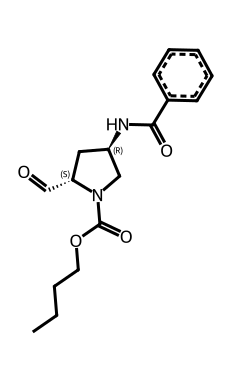 CCCCOC(=O)N1C[C@H](NC(=O)c2ccccc2)C[C@H]1C=O